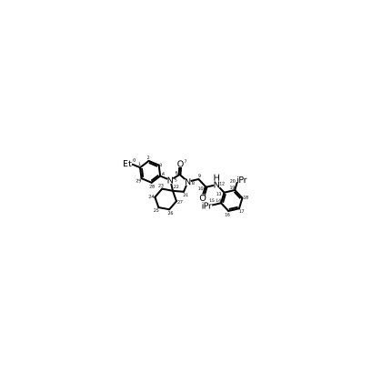 CCc1ccc(N2C(=O)N(CC(=O)Nc3c(C(C)C)cccc3C(C)C)CC23CCCCC3)cc1